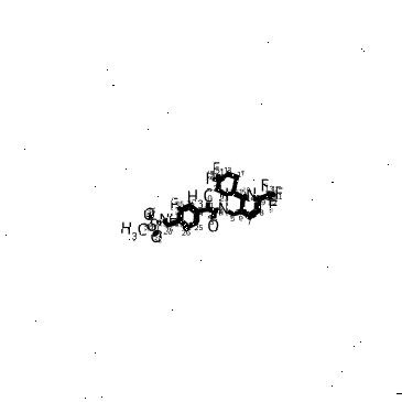 CC(C(=O)NCc1ccc(C(F)(F)F)nc1C1CCC(F)(F)CC1)c1ccc(CNS(C)(=O)=O)c(F)c1